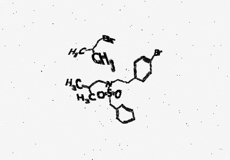 CC(C)CBr.CC(C)CN(CCc1ccc(Br)cc1)S(=O)(=O)Cc1ccccc1